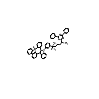 CC(CCCC(C)(C)c1cccc(-n2c3c(c4ccccc42)-c2ccccc2P(=O)(c2ccccc2)c2ccccc2-3)c1)c1nc(-c2ccccc2)nc(-c2ccccc2)n1